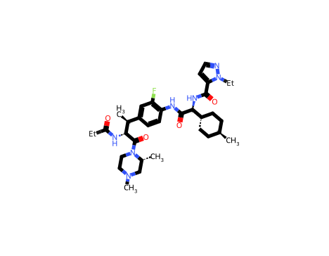 CCC(=O)N[C@@H](C(=O)N1CCN(C)C[C@H]1C)[C@@H](C)c1ccc(NC(=O)[C@@H](NC(=O)c2ccnn2CC)[C@H]2CC[C@H](C)CC2)c(F)c1